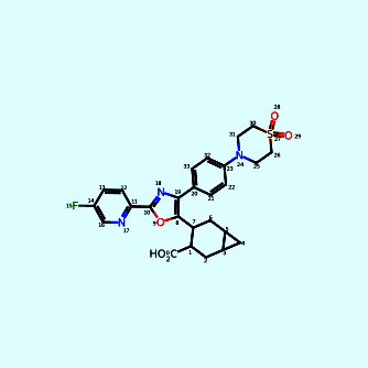 O=C(O)C1CC2CC2CC1c1oc(-c2ccc(F)cn2)nc1-c1ccc(N2CCS(=O)(=O)CC2)cc1